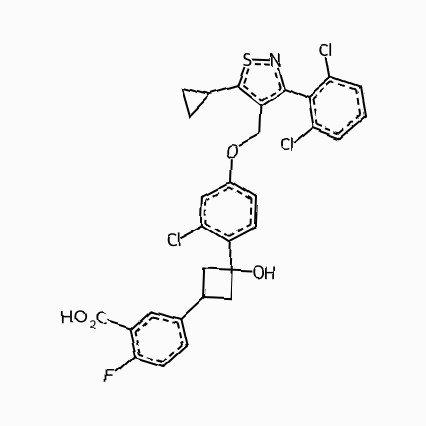 O=C(O)c1cc(C2CC(O)(c3ccc(OCc4c(-c5c(Cl)cccc5Cl)nsc4C4CC4)cc3Cl)C2)ccc1F